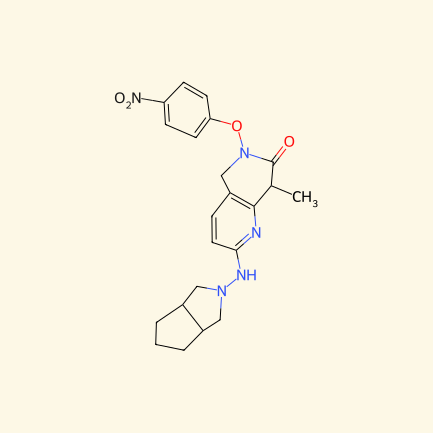 CC1C(=O)N(Oc2ccc([N+](=O)[O-])cc2)Cc2ccc(NN3CC4CCCC4C3)nc21